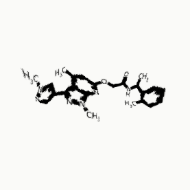 Cc1ccccc1C(C)NC(=O)COc1cc(C)c2c(-c3cnn(C)c3)nn(C)c2n1